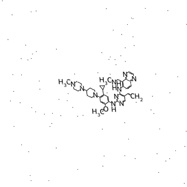 C=Cc1cnc(Nc2cc(C3CC3)c(N3CCC(N4CCN(C)CC4)CC3)cc2OC)nc1Nc1ccc2nccnc2c1CNC